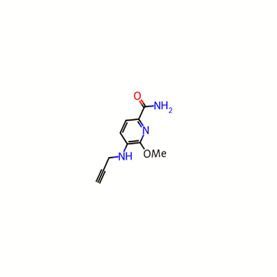 C#CCNc1ccc(C(N)=O)nc1OC